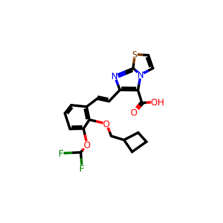 O=C(O)c1c(C=Cc2cccc(OC(F)F)c2OCC2CCC2)nc2sccn12